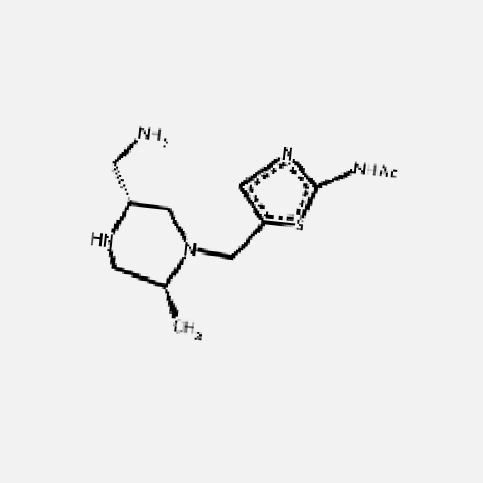 CC(=O)Nc1ncc(CN2C[C@@H](CN)NC[C@@H]2C)s1